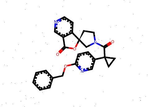 O=C1O[C@]2(CCN(C(=O)C3(c4ccc(OCc5ccccc5)nc4)CC3)C2)c2ccncc21